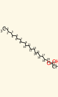 CCCCCCCCCCCCCCCCCCCCOC(C)O